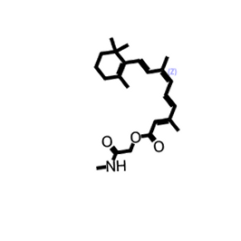 CNC(=O)COC(=O)C=C(C)C=C/C=C(/C)C=CC1=C(C)CCCC1(C)C